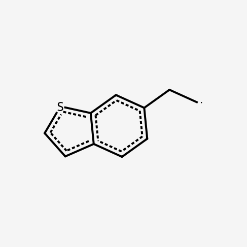 [CH2]Cc1ccc2ccsc2c1